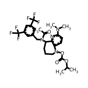 CC(=O)N(Cc1cc(C(F)(F)F)cc(C(F)(F)F)c1)C1CCCN(OC(=O)OC(C)C)c2ccc(N(C)C)nc21